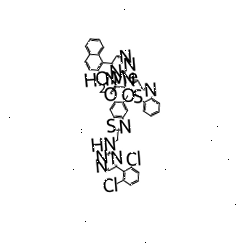 COc1ccc2ccccc2c1-c1cnnc(N(Cc2nc3ccccc3s2)C(Oc2ccc3sc(CNc4nncc(-c5c(Cl)cccc5Cl)n4)nc3c2)C(N)=O)n1